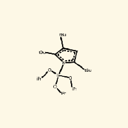 CC(C)[O][Ti]([O]C(C)C)([O]C(C)C)[n]1c(C(C)(C)C)cc(C(C)(C)C)c1C(C)(C)C